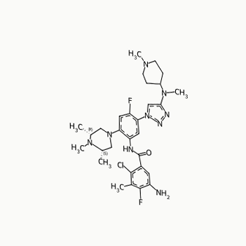 Cc1c(F)c(N)cc(C(=O)Nc2cc(-n3cc(N(C)C4CCN(C)CC4)nn3)c(F)cc2N2C[C@@H](C)N(C)[C@@H](C)C2)c1Cl